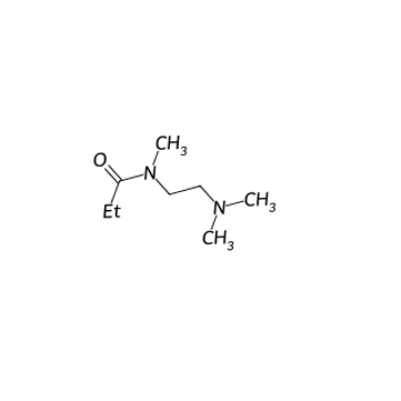 [CH2]CC(=O)N(C)CCN(C)C